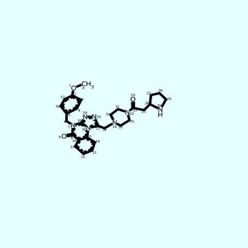 COc1ccc(Cn2c(=O)c3ccccc3n3c(CN4CCN(C(=O)CC5CCCN5)CC4)nnc23)cc1